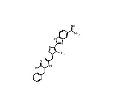 Cc1c(-c2nc3cc(C(=N)N)ccc3[nH]2)ncn1CC(=O)NC(Cc1ccccc1)C(=O)O